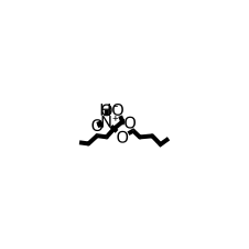 CCCCCOC(CCCC)(C(=O)O)[N+](=O)[O-]